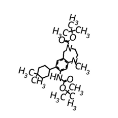 CN1CCN(C(=O)OC(C)(C)C)Cc2cc(C3CCC(C)(C)CC3)c(NC(=O)OC(C)(C)C)cc21